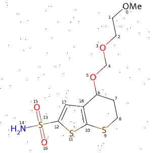 COCCOCOC1CCSc2sc(S(N)(=O)=O)cc21